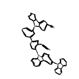 N#Cc1ccc2c(c1)c1ccccc1n2-c1cccc(-c2ccc(-n3c4ccccc4c4cc(-n5c6ccccc6c6ccccc65)ccc43)c(C#N)c2)c1